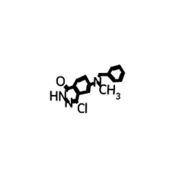 CN(Cc1ccccc1)c1ccc2c(=O)[nH]nc(Cl)c2c1